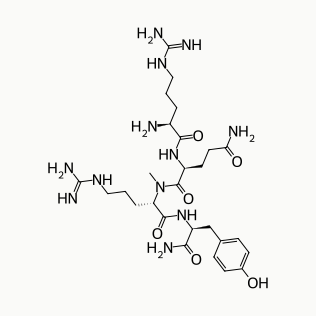 CN(C(=O)[C@H](CCC(N)=O)NC(=O)[C@@H](N)CCCNC(=N)N)[C@@H](CCCNC(=N)N)C(=O)N[C@@H](Cc1ccc(O)cc1)C(N)=O